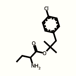 CCC(N)C(=O)OC(C)(C)Cc1ccc(Cl)cc1